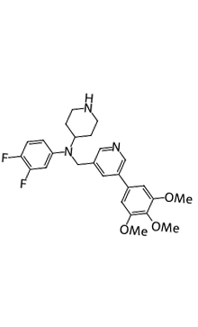 COc1cc(-c2cncc(CN(c3ccc(F)c(F)c3)C3CCNCC3)c2)cc(OC)c1OC